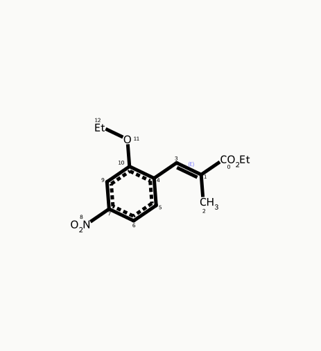 CCOC(=O)/C(C)=C/c1ccc([N+](=O)[O-])cc1OCC